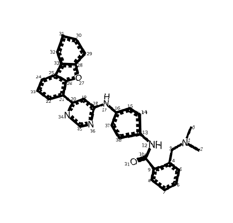 CN(C)Cc1ccccc1C(=O)Nc1ccc(Nc2cc(-c3cccc4c3oc3ccccc34)ncn2)cc1